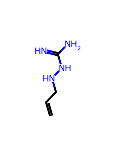 C=CCNNC(=N)N